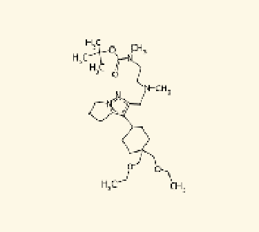 CCOCC1(COCC)CCC(c2c(CN(C)CCN(C)C(=O)OC(C)(C)C)nn3c2CCC3)CC1